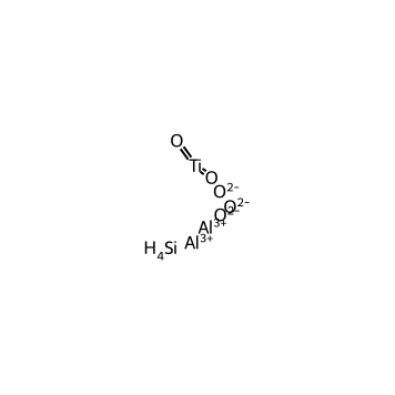 [Al+3].[Al+3].[O-2].[O-2].[O-2].[O]=[Ti]=[O].[SiH4]